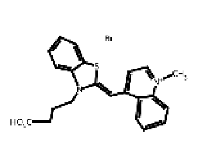 C[n+]1ccc(C=C2Sc3ccccc3N2CCCC(=O)O)c2ccccc21.[Br-]